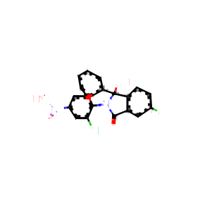 O=C1c2cc(Cl)ccc2C(O)(c2ccccc2)N1c1ccc([N+](=O)O)cc1Cl